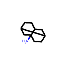 NC12CCC3CC1CCC3C2